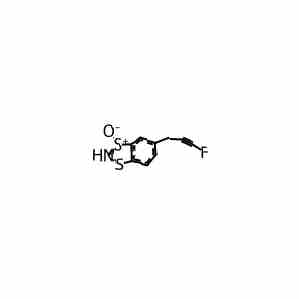 [O-][S+]1NSc2ccc(CC#CF)cc21